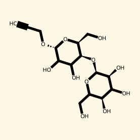 C#CCO[C@@H]1O[C@@H](CO)[C@@H](O[C@@H]2OC(CO)[C@H](O)C(O)[C@@H]2O)C(O)C1O